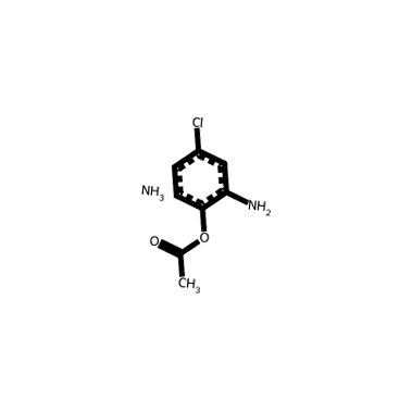 CC(=O)Oc1ccc(Cl)cc1N.N